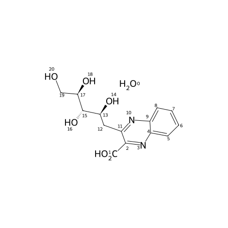 O.O=C(O)c1nc2ccccc2nc1C[C@H](O)[C@H](O)[C@H](O)CO